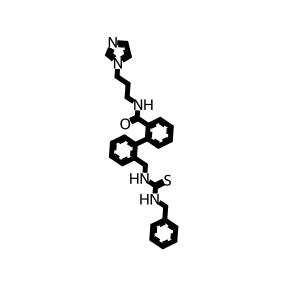 O=C(NCCCn1ccnc1)c1ccccc1-c1ccccc1CNC(=S)NCc1ccccc1